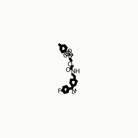 Cc1ccc(S(=O)(=O)N(C)CCOCC(=O)NCCC2CCC(C(c3ccc(F)cc3)N(C)C)CC2)cc1